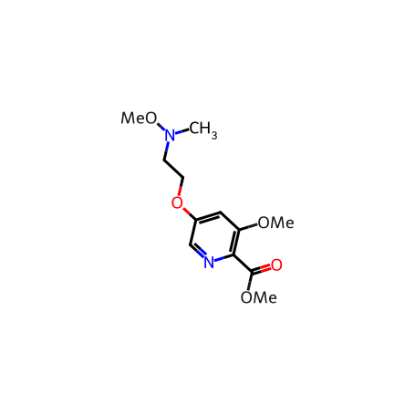 COC(=O)c1ncc(OCCN(C)OC)cc1OC